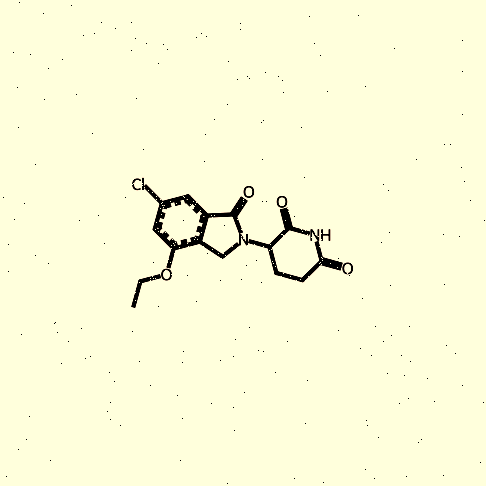 CCOc1cc(Cl)cc2c1CN(C1CCC(=O)NC1=O)C2=O